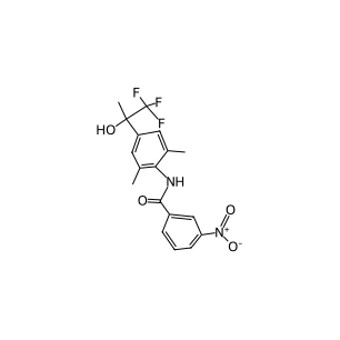 Cc1cc(C(C)(O)C(F)(F)F)cc(C)c1NC(=O)c1cccc([N+](=O)[O-])c1